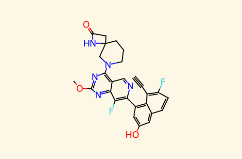 C#Cc1c(F)ccc2cc(O)cc(-c3ncc4c(N5CCCC6(CC(=O)N6)C5)nc(OC)nc4c3F)c12